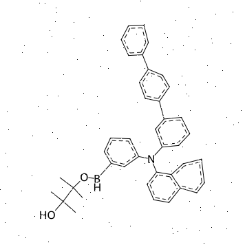 CC(C)(O)C(C)(C)OBc1cccc(N(c2cccc(-c3ccc(-c4ccccc4)cc3)c2)c2cccc3ccccc23)c1